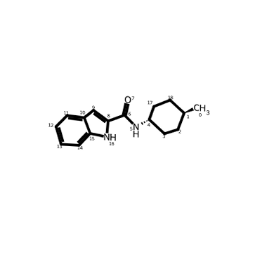 C[C@H]1CC[C@H](NC(=O)c2cc3ccccc3[nH]2)CC1